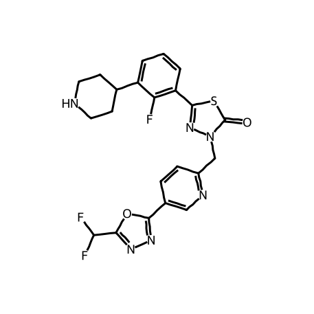 O=c1sc(-c2cccc(C3CCNCC3)c2F)nn1Cc1ccc(-c2nnc(C(F)F)o2)cn1